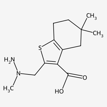 CN(N)Cc1sc2c(c1C(=O)O)CC(C)(C)CC2